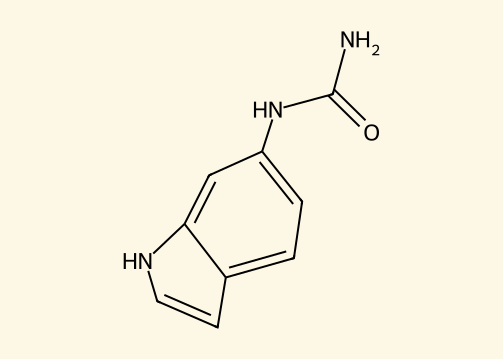 NC(=O)Nc1ccc2cc[nH]c2c1